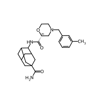 Cc1cccc(CN2CCO[C@@H](C(=O)NC3C4CC5CC3CC(C(N)=O)(C5)C4)C2)c1